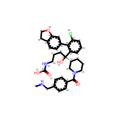 CNCc1ccc(C(=O)N2CCC[C@@H](C(O)(CCCNC(=O)O)c3cccc(Cl)c3-c3ccc4c(c3)OCC4)C2)cc1